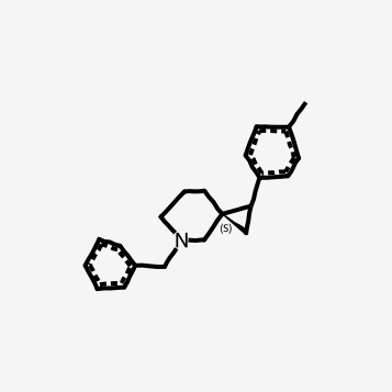 Cc1ccc(C2C[C@@]23CCCN(Cc2ccccc2)C3)cc1